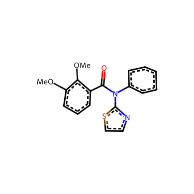 COc1cccc(C(=O)N(c2ccccc2)c2nccs2)c1OC